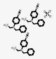 CCN(Cc1ccccc1)c1ccc([N+]#N)cc1.CCN(Cc1ccccc1)c1ccc([N+]#N)cc1.CCN(Cc1ccccc1)c1ccc([N+]#N)cc1.O=P([O-])([O-])[O-]